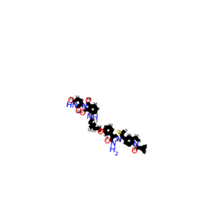 Cc1sc(C(C(N)=O)c2cccc(OCCC(C)(C)CCNc3cccc4c3C(=O)N(C3CCC(=O)NC3=O)C4=O)c2)nc1-c1ccc2c(c1)CCN2C(=O)C1CC1